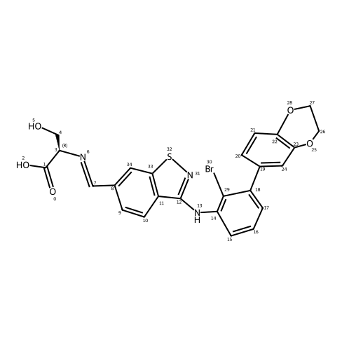 O=C(O)[C@@H](CO)N=Cc1ccc2c(Nc3cccc(-c4ccc5c(c4)OCCO5)c3Br)nsc2c1